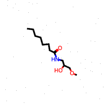 CCCCCCCC(=O)NCC(O)COC